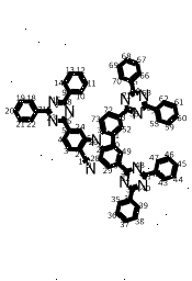 N#Cc1ccc(-c2nc(-c3ccccc3)nc(-c3ccccc3)n2)cc1-n1c2ccc(-c3nc(-c4ccccc4)nc(-c4ccccc4)n3)cc2c2cc(-c3nc(-c4ccccc4)nc(-c4ccccc4)n3)ccc21